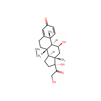 COC(C)=O.C[C@]12C=CC(=O)C=C1CC[C@@H]1[C@@H]2[C@@H](O)C[C@@]2(C)[C@H]1CC[C@]2(O)C(=O)CO